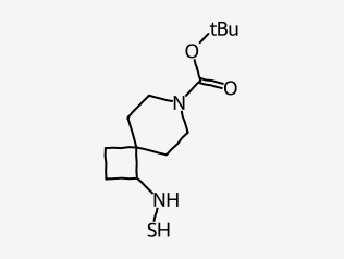 CC(C)(C)OC(=O)N1CCC2(CCC2NS)CC1